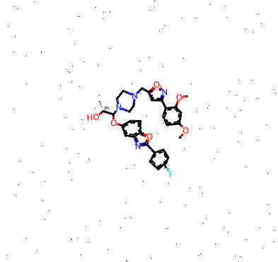 COc1ccc(-c2cc(CN3CCN(C(Oc4ccc5oc(-c6ccc(F)cc6)nc5c4)[C@@H](C)O)CC3)on2)c(OC)c1